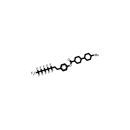 CCCCC1CCC(C2CCC(C(=O)Oc3ccc(CCC(F)(F)C(F)(F)C(F)(F)C(F)(F)C(F)(F)C(F)(F)F)cc3)CC2)CC1